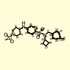 CS(=O)(=O)N1CCC(Nc2ccc(S(=O)(=O)N(Cc3ccc(F)cc3)C3CCC3)nc2)CC1